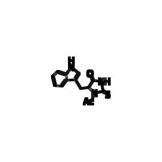 CC(=O)N1C(=S)NC(=O)C1Cc1c[nH]c2ccccc12